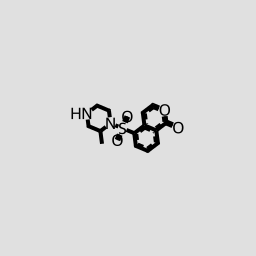 CC1CNCCN1S(=O)(=O)c1cccc2c(=O)occc12